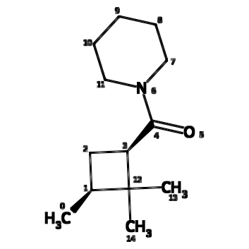 C[C@H]1C[C@@H](C(=O)N2CCCCC2)C1(C)C